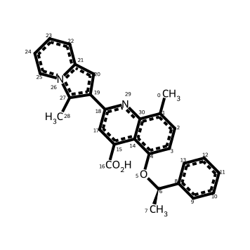 Cc1ccc(O[C@H](C)c2ccccc2)c2c(C(=O)O)cc(-c3cc4ccccn4c3C)nc12